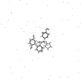 CC(C)c1ncc(C(=O)Nc2c(-c3cc(F)ccc3F)ccnc2C2CCCC2)cn1